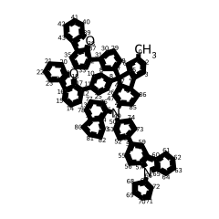 Cc1ccc2c(c1)C(c1ccc(-c3cccc4c3oc3ccccc34)cc1)(c1cccc(-c3cccc4c3oc3ccccc34)c1)c1cc(N(c3ccc(-c4ccc5c(c4)c4ccccc4n5-c4ccccc4)cc3)c3cccc4ccccc34)ccc1-2